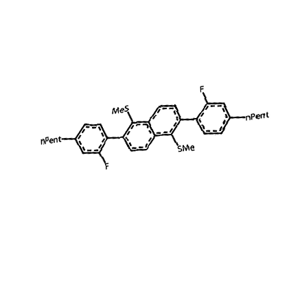 CCCCCc1ccc(-c2ccc3c(SC)c(-c4ccc(CCCCC)cc4F)ccc3c2SC)c(F)c1